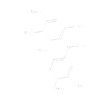 COc1cc(OC)c(N(C=O)c2cc(OC)c(OC)cc2OC)cc1OC